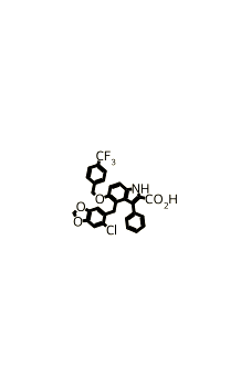 O=C(O)c1[nH]c2ccc(OCc3ccc(C(F)(F)F)cc3)c(Cc3cc4c(cc3Cl)OCO4)c2c1-c1ccccc1